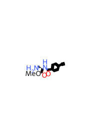 C#Cc1ccc(C(=O)N[C@@H](CN)C(=O)OC)cc1